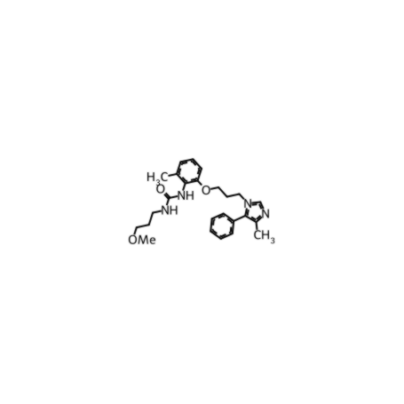 COCCCNC(=O)Nc1c(C)cccc1OCCCn1cnc(C)c1-c1ccccc1